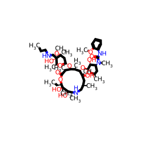 CCCNC[C@]1(O)[C@H](C)O[C@@H](O[C@H]2[C@H](C)[C@@H](O[C@@H]3O[C@H](C)C[C@H](N(C)C(=O)Nc4ccccc4OC)[C@H]3O)[C@](C)(O)C[C@@H](C)CN[C@H](C)[C@@H](O)[C@](C)(O)[C@@H](CC)OC(=O)[C@@H]2C)C[C@@]1(C)OC